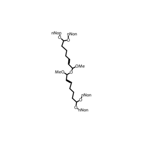 CCCCCCCCCOC(CCCC=CC(OC)OC(C=CCCCC(OCCCCCCCCC)OCCCCCCCCC)OC)OCCCCCCCCC